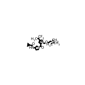 CC(c1cc(C(=O)N2CCC(NC(=O)C3CC3)C2)n(COCC[Si](C)(C)C)n1)C(F)(F)F